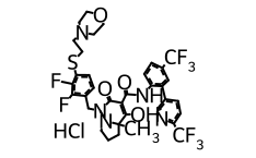 CC12CCCN1N(Cc1ccc(SCCN3CCOCC3)c(F)c1F)C(=O)C(C(=O)Nc1ccc(C(F)(F)F)cc1-c1ccc(C(F)(F)F)nc1)=C2O.Cl